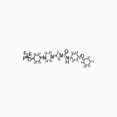 O=C(Nc1ccc(Oc2ccccc2)cc1)N1CC(N2CCN(c3ccc(OC(F)(F)F)cc3)CC2)C1